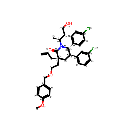 C=CC[C@]1(CCOCc2ccc(OC)cc2)C[C@H](c2cccc(Cl)c2)[C@@H](c2ccc(Cl)cc2)N([C@@H](C)CCO)C1=O